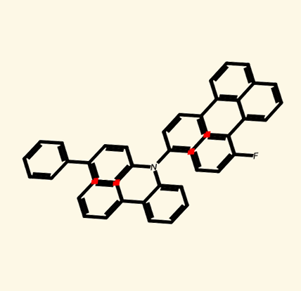 Fc1ccccc1-c1cccc2cccc(-c3ccc(N(c4ccc(-c5ccccc5)cc4)c4ccccc4-c4ccccc4)cc3)c12